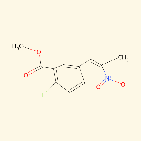 COC(=O)c1cc(C=C(C)[N+](=O)[O-])ccc1F